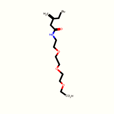 C=C(CC(=O)NCCOCCOCCOCC(=O)O)CC(C)CC